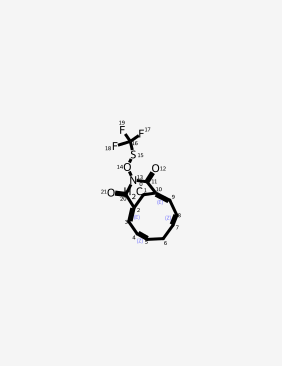 C=C1/C2=C\C=C/C/C=C\C=C/1C(=O)N(OSC(F)(F)F)C2=O